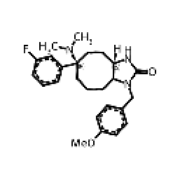 COc1ccc(CN2C(=O)N[C@H]3CC[C@](c4cccc(F)c4)(N(C)C)CCCC32)cc1